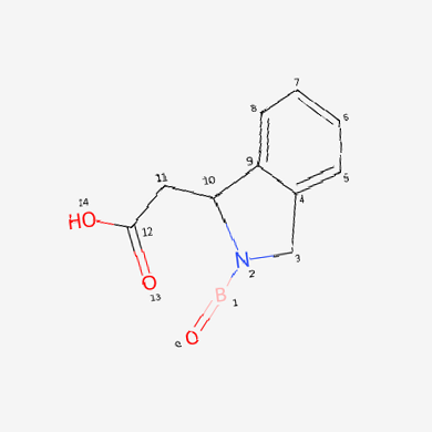 O=BN1Cc2ccccc2C1CC(=O)O